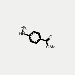 COC(=O)c1ccc(NC(C)(C)C)cc1